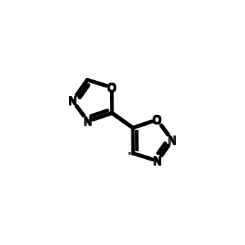 [c]1nnoc1-c1nnco1